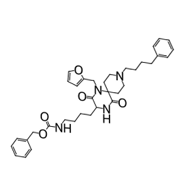 O=C(NCCCCC1NC(=O)C2(CCN(CCCCc3ccccc3)CC2)N(Cc2ccco2)C1=O)OCc1ccccc1